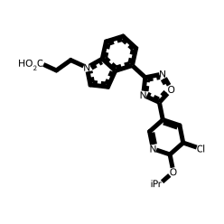 CC(C)OC1N=CC(c2nc(-c3cccc4c3ccn4CCC(=O)O)no2)=CC1Cl